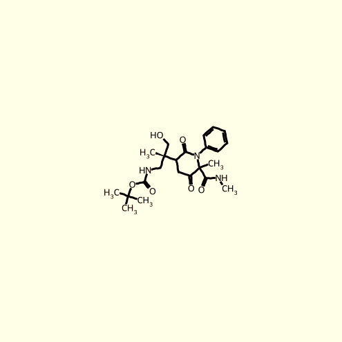 CNC(=O)C1(C)C(=O)CC([C@@](C)(CO)CNC(=O)OC(C)(C)C)C(=O)N1c1ccccc1